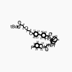 CC(C)(C)OC(=O)CCOCCOc1ccc(-c2ccc(C(=O)NC34CC5CC(CC(NCC(=O)N6Cc7ccc(F)cc7C6)(C5)C3)C4)cc2)cc1